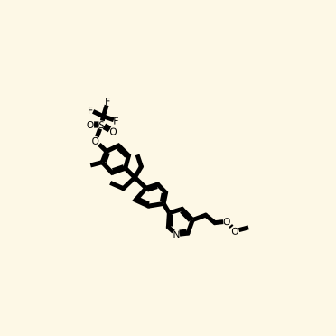 CCC(CC)(c1ccc(-c2cncc(CCOOC)c2)cc1)c1ccc(OS(=O)(=O)C(F)(F)F)c(C)c1